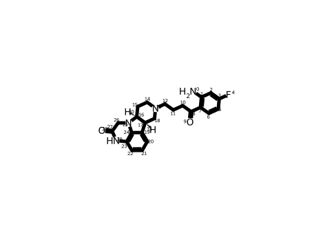 Nc1cc(F)ccc1C(=O)CCCN1CC[C@H]2[C@@H](C1)c1cccc3c1N2CC(=O)N3